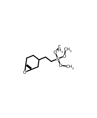 CO[Si](CCC1CCC2=C(C1)O2)(OC)OC